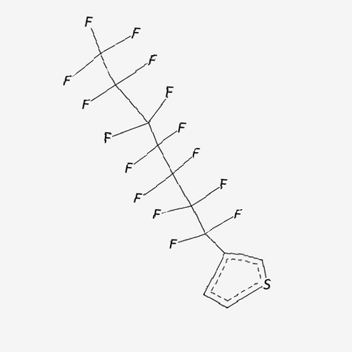 FC(F)(F)C(F)(F)C(F)(F)C(F)(F)C(F)(F)C(F)(F)C(F)(F)c1ccsc1